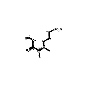 C[C@@H](C(=O)OC(C)(C)C)N(C)CCCS(=O)(=O)O